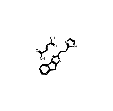 O=C(O)C=CC(=O)O.c1ccc2c(c1)Cc1sc(CCc3ncc[nH]3)nc1-2